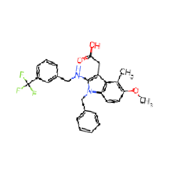 COc1ccc2c(c1C)c(CC(=O)O)c(NCc1cccc(C(F)(F)F)c1)n2Cc1ccccc1